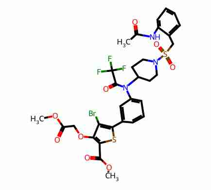 COC(=O)COc1c(C(=O)OC)sc(-c2cccc(N(C(=O)C(F)(F)F)C3CCN(S(=O)(=O)Cc4ccccc4NC(C)=O)CC3)c2)c1Br